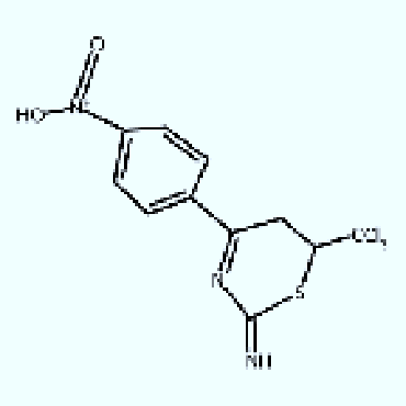 N=C1N=C(c2ccc([N+](=O)O)cc2)CC(C(Cl)(Cl)Cl)S1